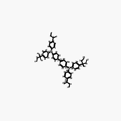 CCC(C)c1ccc(N(c2ccc(-c3ccc(N(c4ccc(C(C)CC)cc4)c4ccc(C(C)(CC)CC)cc4)cc3)cc2)c2ccc(C(C)(C)CC)cc2)cc1